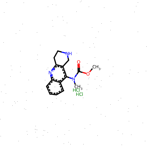 COC(=O)N(C)c1c2c(nc3ccccc13)CCNC2.Cl.Cl